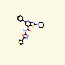 O=C(Nc1nnc(-c2ccsc2)o1)c1cc(-c2ccccc2)nc2nc(N3CCCCC3)sc12